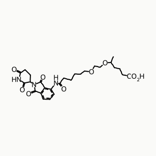 CC(CCCC(=O)O)OCCOCCCCCC(=O)Nc1cccc2c1C(=O)N(C1CCC(=O)NC1=O)C2=O